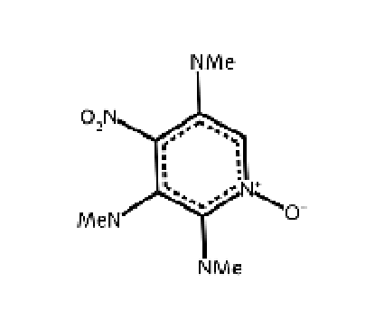 CNc1c[n+]([O-])c(NC)c(NC)c1[N+](=O)[O-]